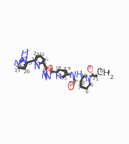 C=CC(=O)N1CCC[C@H](C(=O)Nc2ccc(-c3nnc(-c4cccc(-c5ccn[nH]5)n4)o3)nc2)C1